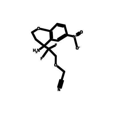 N#CCOCC(F)(F)C1(N)CCOc2ccc([N+](=O)[O-])cc21